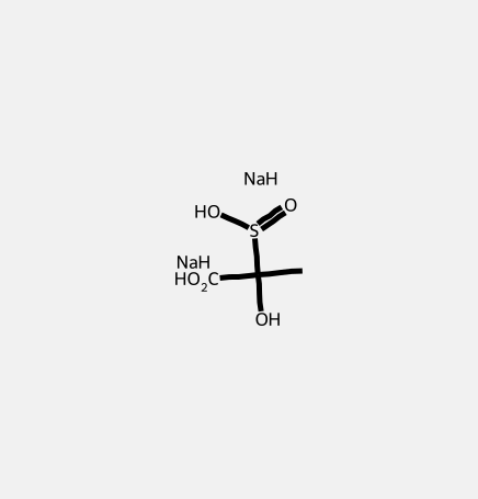 CC(O)(C(=O)O)S(=O)O.[NaH].[NaH]